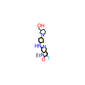 CCn1c(=O)c(F)cc2cnc(Nc3ccc(N4CCCC(CO)C4)cc3)cc21